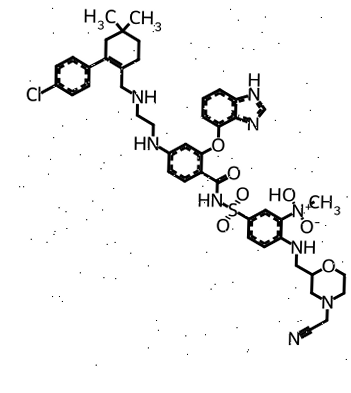 CC1(C)CCC(CNCCNc2ccc(C(=O)NS(=O)(=O)c3ccc(NCC4CN(CC#N)CCO4)c([N+](C)([O-])O)c3)c(Oc3cccc4[nH]cnc34)c2)=C(c2ccc(Cl)cc2)C1